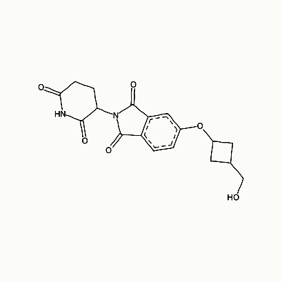 O=C1CCC(N2C(=O)c3ccc(OC4CC(CO)C4)cc3C2=O)C(=O)N1